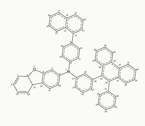 C1=CC2Oc3cc(N(c4ccc(-c5cccc6ccccc56)cc4)c4cccc(-c5c(-c6ccccc6)c6ccccc6c6ccccc56)c4)ccc3C2C=C1